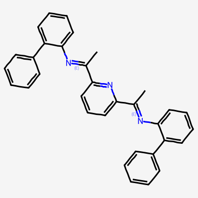 C/C(=N\c1ccccc1-c1ccccc1)c1cccc(/C(C)=N/c2ccccc2-c2ccccc2)n1